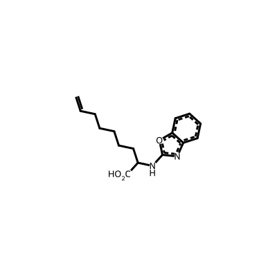 C=CCCCCCC(Nc1nc2ccccc2o1)C(=O)O